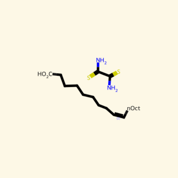 CCCCCCCC/C=C\CCCCCCCC(=O)O.NC(=S)C(N)=S